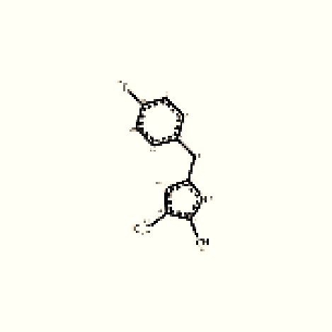 Cc1nc(Cc2ccc(F)cc2)sc1C(=O)O